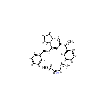 CC(C(=O)C=C(C=Cc1ccccc1)N1CCCC1)c1ccccc1.O=C(O)/C=C\C(=O)O